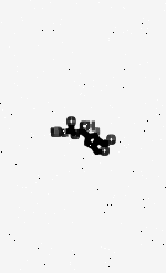 CC(OC(=O)C(C)(C)C)C1CC2COC(=O)C2C1